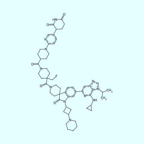 CC(C)n1cnc2cc(-c3ccc4c(c3)N(C3CC(N5CCCCC5)C3)C(=O)C43CCN(C(=O)C4(CF)CCN(C(=O)C5CCN(c6ccc(C7CCC(=O)NC7=O)cn6)CC5)CC4)CC3)nc(NC3CC3)c21